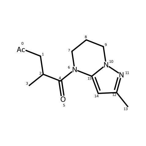 CC(=O)CC(C)C(=O)N1CCCn2nc(C)cc21